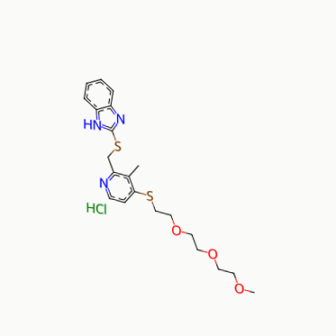 COCCOCCOCCSc1ccnc(CSc2nc3ccccc3[nH]2)c1C.Cl